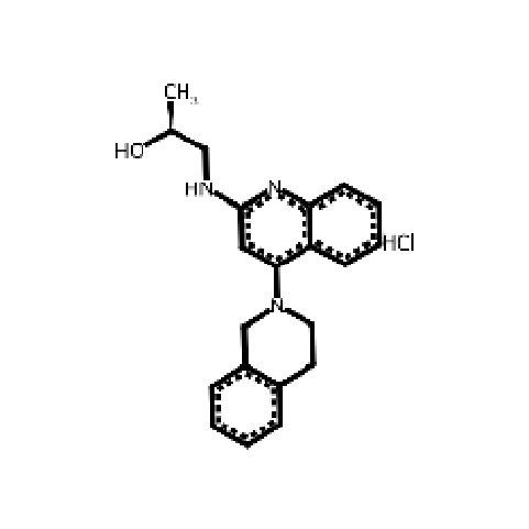 C[C@H](O)CNc1cc(N2CCc3ccccc3C2)c2ccccc2n1.Cl